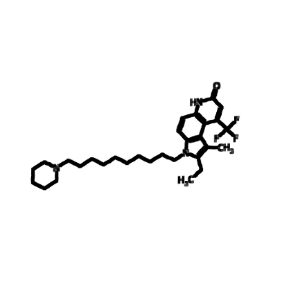 CCc1c(C)c2c3c(C(F)(F)F)cc(=O)[nH]c3ccc2n1CCCCCCCCCCN1CCCCC1